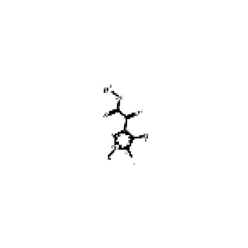 CCc1c(C(=O)C(=O)NC(C)(C)C)cn(C)c1F